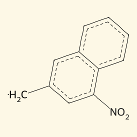 [CH2]c1cc([N+](=O)[O-])c2ccccc2c1